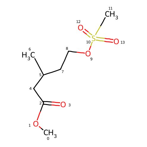 COC(=O)CC(C)CCOS(C)(=O)=O